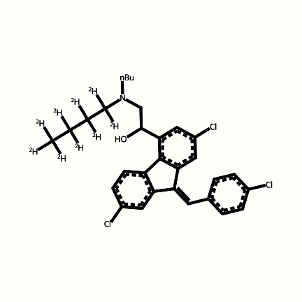 [2H]C([2H])([2H])C([2H])([2H])C([2H])([2H])C([2H])([2H])N(CCCC)CC(O)c1cc(Cl)cc2c1-c1ccc(Cl)cc1/C2=C/c1ccc(Cl)cc1